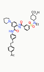 CCN(C1CCC(C(=O)O)CC1)S(=O)(=O)c1cccc(C(=O)Nc2ccc(N3CCCCC3)cc2C(=O)Nc2ccc(CCc3ccc(C(C)=O)cc3)cc2)c1